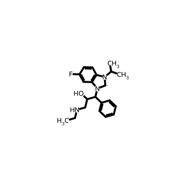 CCNCC(O)C(c1ccccc1)N1[CH]N(C(C)C)c2ccc(F)cc21